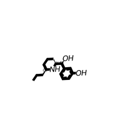 CCC[C@H]1CCC[C@H]([C@H](O)c2cccc(O)c2)N1